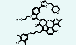 COCCn1cc(N2C[C@@H](C)n3c(c(CCCOc4cc(C)c(Cl)c(C)c4)c4ccc(Cl)c(-c5c(C)nn(C)c5C)c43)C2=O)c2cc(-c3ncn(CC4CCOCC4)n3)ccc21